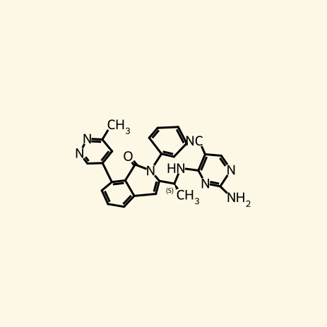 Cc1cc(-c2cccc3cc([C@H](C)Nc4nc(N)ncc4C#N)n(-c4ccccc4)c(=O)c23)cnn1